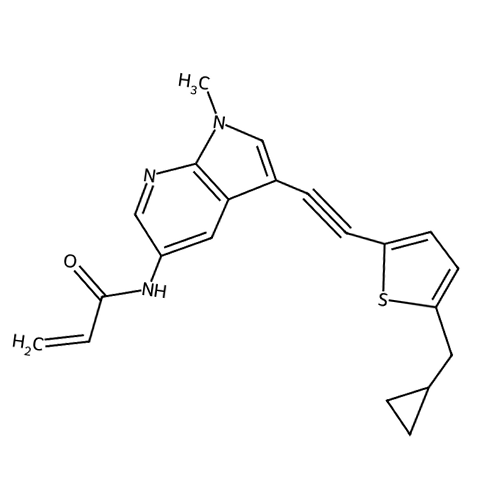 C=CC(=O)Nc1cnc2c(c1)c(C#Cc1ccc(CC3CC3)s1)cn2C